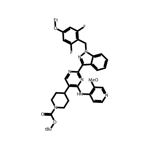 CCOc1cc(F)c(Cn2nc(-c3ncc(C4CCN(C(=O)OC(C)(C)C)CC4)c(Nc4ccncc4OC)n3)c3ccccc32)c(F)c1